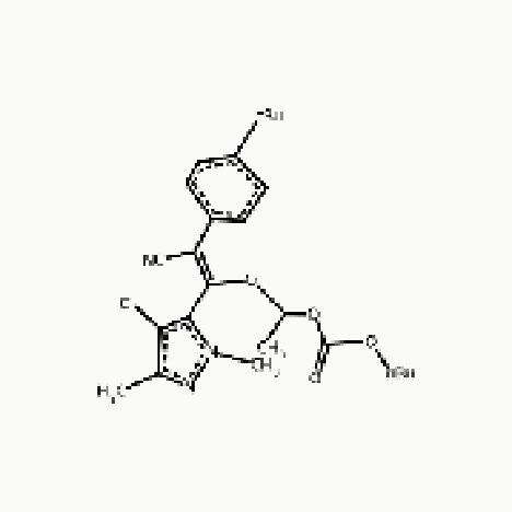 CCCCOC(=O)OC(C)O/C(=C(/C#N)c1ccc(C(C)(C)C)cc1)c1c(Cl)c(C)nn1C